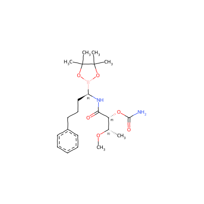 CO[C@@H](C)[C@@H](OC(N)=O)C(=O)N[C@@H](CCCc1ccccc1)B1OC(C)(C)C(C)(C)O1